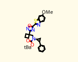 COc1ccc2nc(-c3nc(C4(CN(C(=O)OC(C)(C)C)[C@H]5CC5c5ccccc5)CCC4)no3)sc2c1